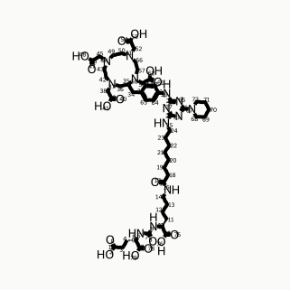 O=C(O)CC[C@H](NC(=O)N[C@@H](CCCCNC(=O)CCCCCCCNc1nc(Nc2ccc(CC3CN(CC(=O)O)CCN(CC(=O)O)CCN(CC(=O)O)CCN3CC(=O)O)cc2)nc(N2CCCCC2)n1)C(=O)O)C(=O)O